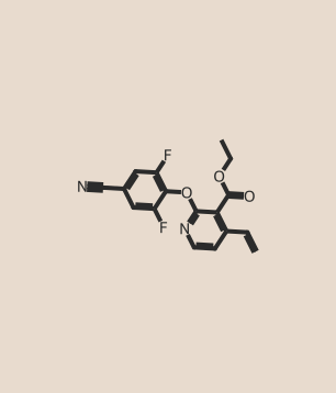 C=Cc1ccnc(Oc2c(F)cc(C#N)cc2F)c1C(=O)OCC